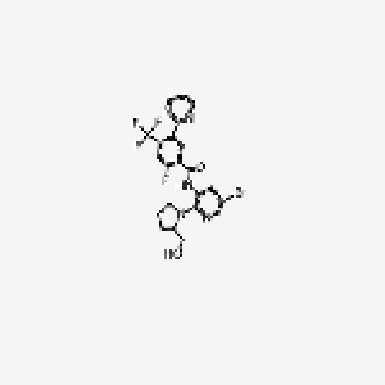 O=C(Nc1cc(Br)cnc1N1CCCC1CO)c1cc(-c2ncccn2)c(C(F)(F)F)cc1F